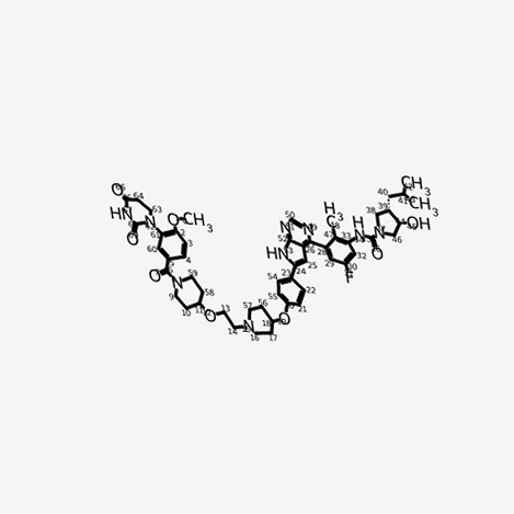 COc1ccc(C(=O)N2CCC(OCCN3CCC(Oc4ccc(-c5cc6c(-c7cc(F)cc(NC(=O)N8C[C@H](CC(C)C)[C@@H](O)C8)c7C)ncnc6[nH]5)cc4)CC3)CC2)cc1N1CCC(=O)NC1=O